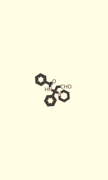 O=CCC(NC(=O)c1ccccc1)(c1ccccc1)N1CCCCC1